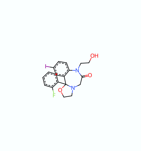 O=C1CN2CCOC2(c2ccccc2F)c2cc(I)ccc2N1CCO